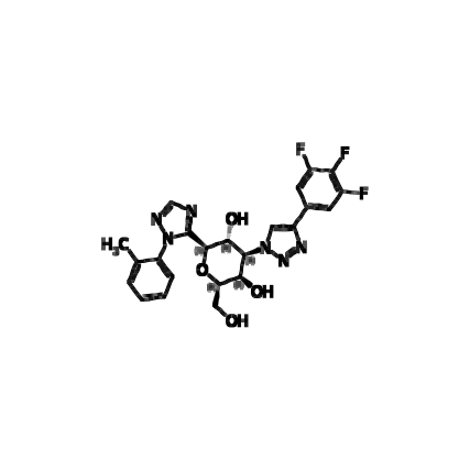 Cc1ccccc1-n1ncnc1[C@@H]1O[C@H](CO)[C@H](O)[C@H](n2cc(-c3cc(F)c(F)c(F)c3)nn2)[C@H]1O